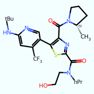 CCCN(CCO)C(=O)c1nc(C(=O)N2CCC[C@@H]2C)c(-c2cnc(NC(C)(C)C)cc2C(F)(F)F)s1